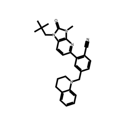 Cn1c(=O)n(CC(C)(C)C)c2ccc(-c3cc(CN4CCCc5ccccc54)ccc3C#N)nc21